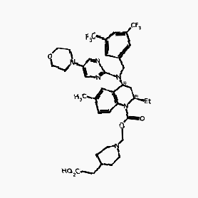 CC[C@@H]1C[C@H](N(Cc2cc(C(F)(F)F)cc(C(F)(F)F)c2)c2ncc(N3CCOCC3)cn2)c2cc(C)ccc2N1C(=O)OCN1CCC(CC(=O)O)CC1